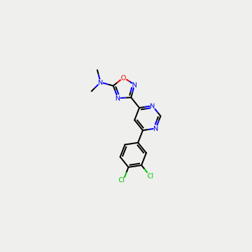 CN(C)c1nc(-c2cc(-c3ccc(Cl)c(Cl)c3)ncn2)no1